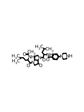 CC(=O)NC(CCC(C)C)C(=O)N1CC(=O)C2C1CCN2C(=O)C(CC(C)C)NC(=O)c1ccc(N2CCNCC2)cc1